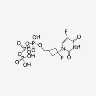 O=c1[nH]c(=O)n(C2(F)CC(COP(=O)(O)OP(=O)(O)OP(=O)(O)O)C2)cc1F